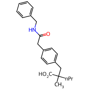 CCCC(C)(Cc1ccc(CC(=O)NCc2ccccc2)cc1)C(=O)O